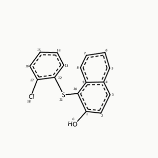 Oc1ccc2ccccc2c1Sc1ccccc1Cl